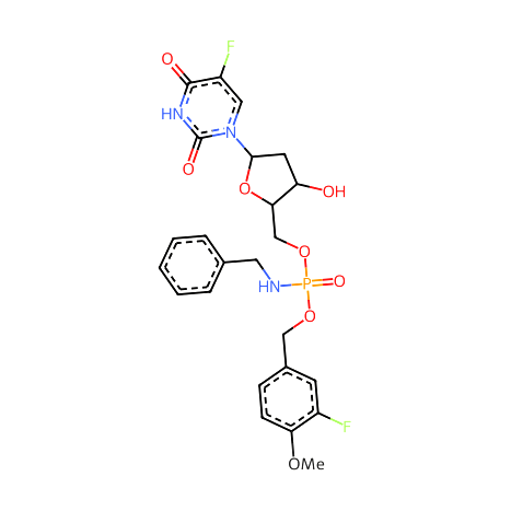 COc1ccc(COP(=O)(NCc2ccccc2)OCC2OC(n3cc(F)c(=O)[nH]c3=O)CC2O)cc1F